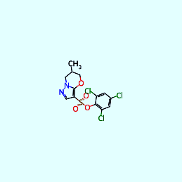 CC1COc2c(S(=O)(=O)Oc3c(Cl)cc(Cl)cc3Cl)cnn2C1